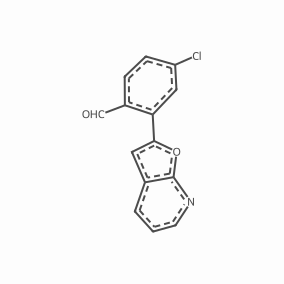 O=Cc1ccc(Cl)cc1-c1cc2cccnc2o1